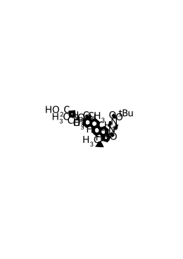 CC(C)(C)OC(=O)N1CCN(C(=O)[C@]23CC[C@@H](C4(C)CC4)[C@@H]2[C@H]2CC[C@@H]4[C@@]5(C)CC[C@H](OC(=O)[C@H]6C[C@@H](C(=O)O)C6(C)C)C(C)(C)[C@@H]5CC[C@@]4(C)[C@]2(C)CC3)CC1